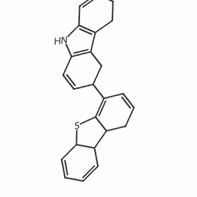 C1=CC2SC3=C(C4C=Cc5[nH]c6c(c5C4)CCC=C6)C=CCC3C2C=C1